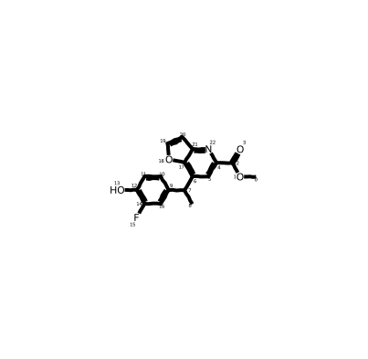 COC(=O)c1cc(C(C)c2ccc(O)c(F)c2)c2occc2n1